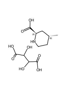 C[C@@H]1CCN[C@@H](C(=O)O)C1.O=C(O)C(O)C(O)C(=O)O